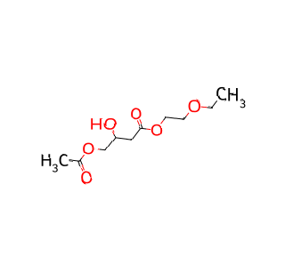 CCOCCOC(=O)CC(O)COC(C)=O